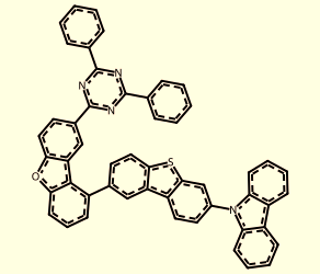 c1ccc(-c2nc(-c3ccccc3)nc(-c3ccc4oc5cccc(-c6ccc7sc8cc(-n9c%10ccccc%10c%10ccccc%109)ccc8c7c6)c5c4c3)n2)cc1